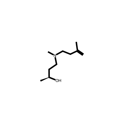 C=C(C)CCN(C)CC[C@H](C)O